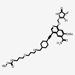 CC[C@@H]1[C@H](F)C(=O)N[C@@H]1COc1ncc(C#CC2CCC(CNCCCOCCCNC(=O)OC(C)(C)C)CC2)c2cc(C(N)=O)c(OC)cc12